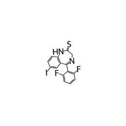 Fc1cccc(F)c1C1=NCC(=S)Nc2ccc(I)cc21